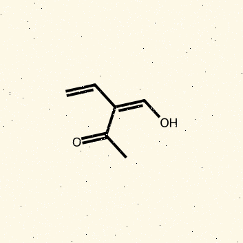 C=CC(=CO)C(C)=O